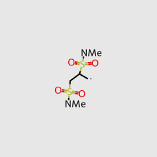 [CH2]C(CS(=O)(=O)NC)S(=O)(=O)NC